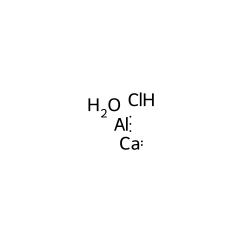 Cl.O.[Al].[Ca]